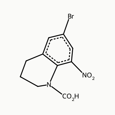 O=C(O)N1CCCc2cc(Br)cc([N+](=O)[O-])c21